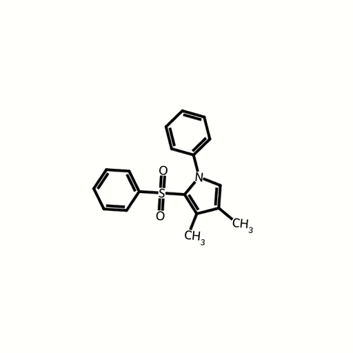 Cc1cn(-c2ccccc2)c(S(=O)(=O)c2ccccc2)c1C